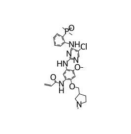 C=CC(=O)Nc1cc(Nc2ncc(Cl)c(Nc3ccccc3P(C)(C)=O)n2)c(OC)cc1OCC1CCN(C)C1